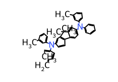 C=C/C=C\C(=C/C)N(c1cccc(C)c1)c1ccc2c(c1)C(C)(C)c1cc(N(c3ccccc3)c3cccc(C)c3)ccc1-2